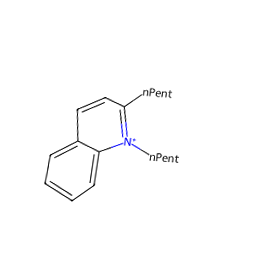 CCCCCc1ccc2ccccc2[n+]1CCCCC